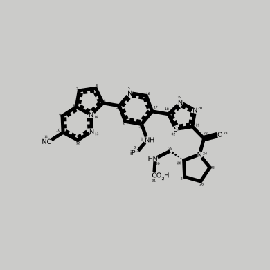 CC(C)Nc1cc(-c2ccc3cc(C#N)cnn23)ncc1-c1nnc(C(=O)N2CCC[C@@H]2CNC(=O)O)s1